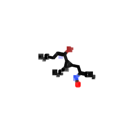 C=C(CC1=C(/C(Br)=C\CC)[C@@H]1C)N=O